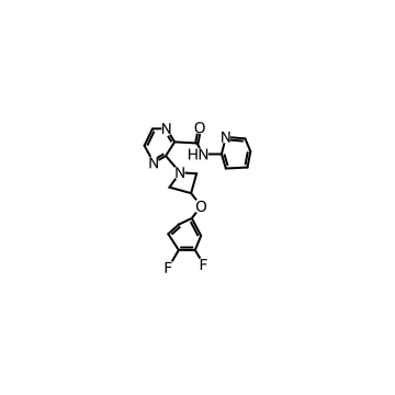 O=C(Nc1ccccn1)c1nccnc1N1CC(Oc2ccc(F)c(F)c2)C1